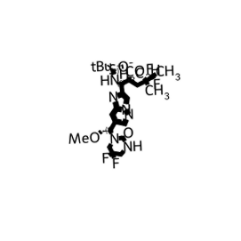 COC[C@H](c1cnn2cc([C@@H](N[S@@+]([O-])C(C)(C)C)C(CC(C)(C)C(C)(F)F)C(=O)O)nc2c1)N1CC(F)(F)CNC1=O